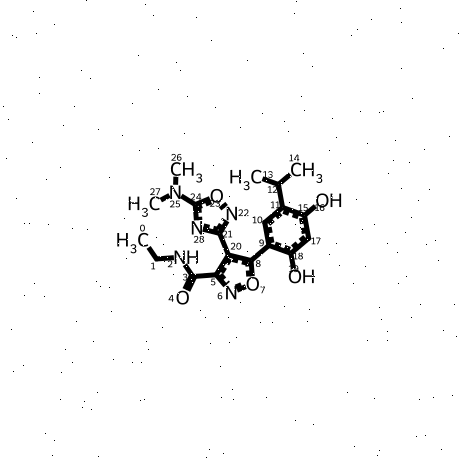 CCNC(=O)c1noc(-c2cc(C(C)C)c(O)cc2O)c1-c1noc(N(C)C)n1